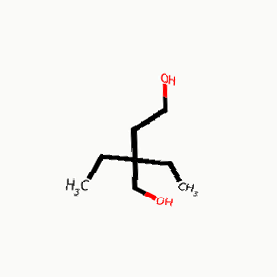 CCC(CC)(CO)CCO